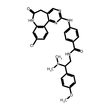 COc1ccc(C(CNC(=O)c2ccc(Nc3ncc4c(n3)-c3ccc(Cl)cc3NC(=O)C4)cc2)N(C)C)cc1